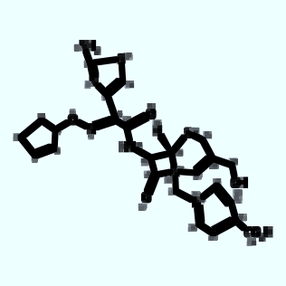 Nc1nc(C(=NOC2C=CCC2)C(=O)NC2C(=O)[N+]3(C[n+]4ccc(C(=O)O)cc4)C=C(CO)CS[C@@H]23)cs1